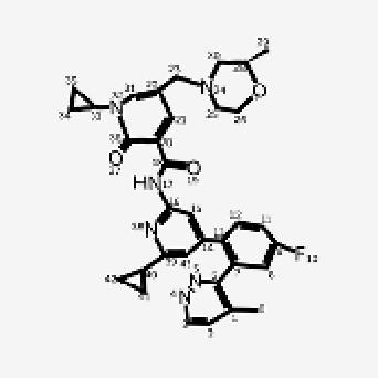 Cc1ccnnc1-c1cc(F)ccc1-c1cc(NC(=O)c2cc(CN3CCO[C@H](C)C3)cn(C3CC3)c2=O)nc(C2CC2)c1